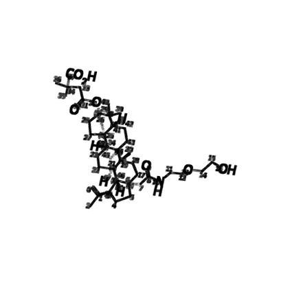 C=C(C)[C@@H]1CC[C@]2(CC(=O)NCCOCCO)CC[C@]3(C)[C@H](CC[C@@H]4[C@@]5(C)CC[C@H](OC(=O)CC(C)(C)C(=O)O)C(C)(C)[C@@H]5CC[C@]43C)[C@@H]12